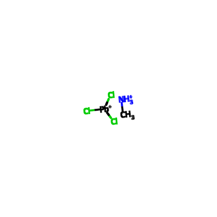 C[NH3+].[Cl][Pb+]([Cl])[Cl]